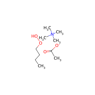 CC(=O)[O-].CCCCOO.C[N+](C)(C)C